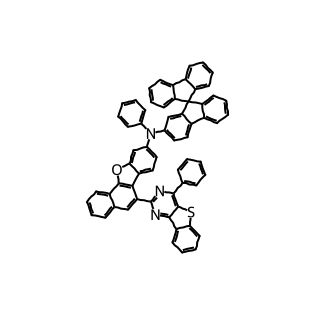 c1ccc(-c2nc(-c3cc4ccccc4c4oc5cc(N(c6ccccc6)c6ccc7c(c6)C6(c8ccccc8-c8ccccc86)c6ccccc6-7)ccc5c34)nc3c2sc2ccccc23)cc1